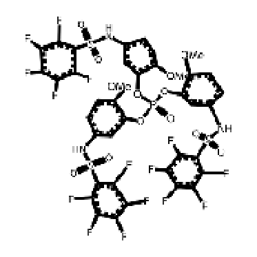 COc1ccc(NS(=O)(=O)c2c(F)c(F)c(F)c(F)c2F)cc1OP(=O)(Oc1cc(NS(=O)(=O)c2c(F)c(F)c(F)c(F)c2F)ccc1OC)Oc1cc(NS(=O)(=O)c2c(F)c(F)c(F)c(F)c2F)ccc1OC